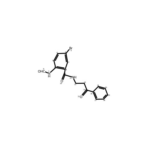 O=CNc1ccc(Br)cc1C(=O)NCCC(=O)c1ccccc1